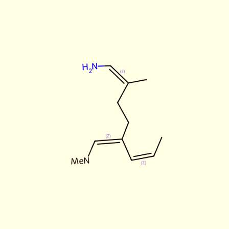 C/C=C\C(=C/NC)CC/C(C)=C\N